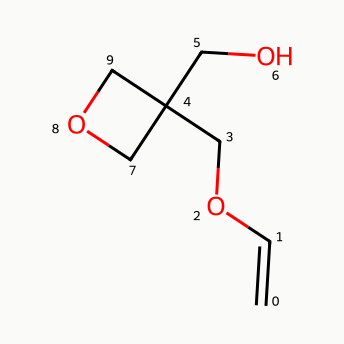 C=COCC1(CO)COC1